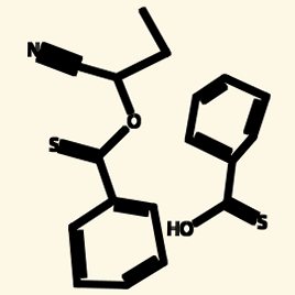 CCC(C#N)OC(=S)c1ccccc1.OC(=S)c1ccccc1